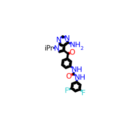 CC(C)n1cc(C(=O)c2cccc(NC(=O)Nc3cc(F)cc(F)c3)c2)c2c(N)ncnc21